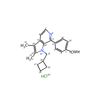 COc1ccc(-c2nccc3c(C)c(C)n(CC4CCC4)c23)cc1.Cl